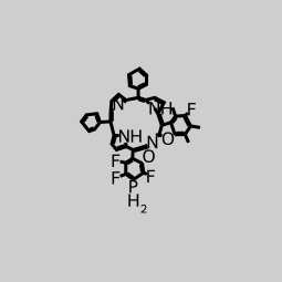 Cc1c(F)c(C)c2c(oc3nc4oc5c(F)c(P)c(F)c(F)c5c4c4ccc([nH]4)c(-c4ccccc4)c4nc(c(-c5ccccc5)c5ccc([nH]5)c32)C=C4)c1C